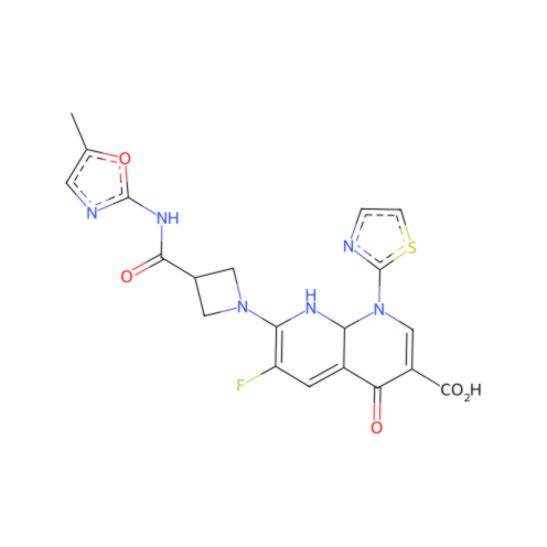 Cc1cnc(NC(=O)C2CN(C3=C(F)C=C4C(=O)C(C(=O)O)=CN(c5nccs5)C4N3)C2)o1